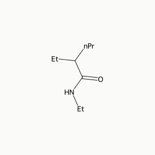 CCCC(CC)C(=O)NCC